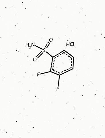 Cl.NS(=O)(=O)c1cccc(F)c1F